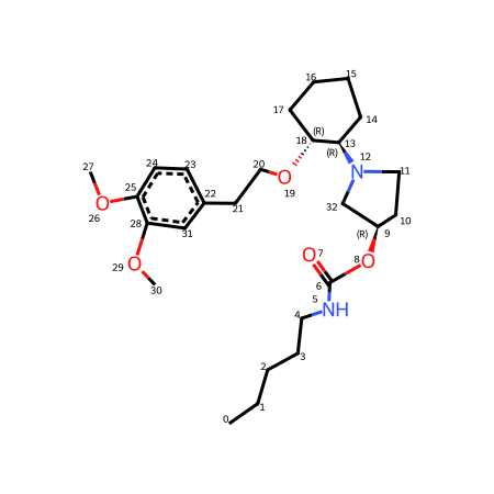 CCCCCNC(=O)O[C@@H]1CCN([C@@H]2CCCC[C@H]2OCCc2ccc(OC)c(OC)c2)C1